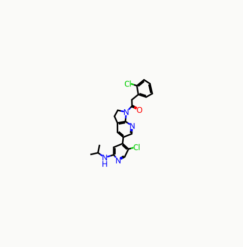 CC(C)Nc1cc(-c2cnc3c(c2)CCN3C(=O)Cc2ccccc2Cl)c(Cl)cn1